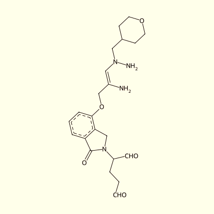 N/C(=C\N(N)CC1CCOCC1)COc1cccc2c1CN(C(C=O)CCC=O)C2=O